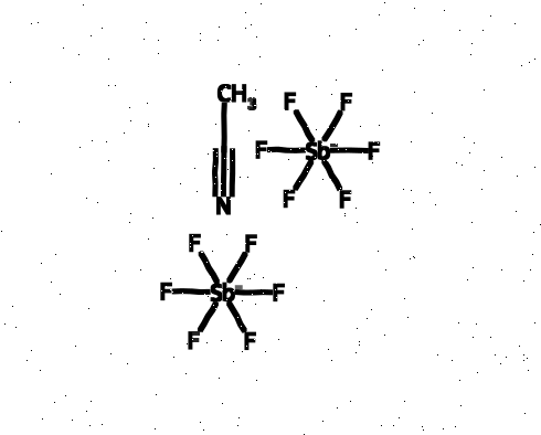 CC#N.[F][Sb-]([F])([F])([F])([F])[F].[F][Sb-]([F])([F])([F])([F])[F]